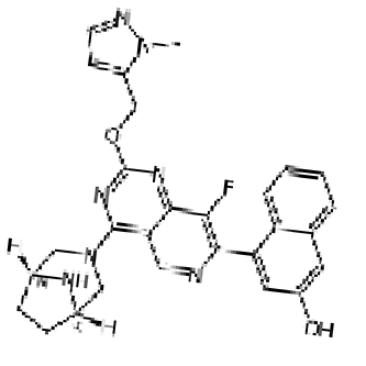 Cn1nccc1COc1nc(N2C[C@H]3CC[C@@H](C2)N3)c2cnc(-c3cc(O)cc4ccccc34)c(F)c2n1